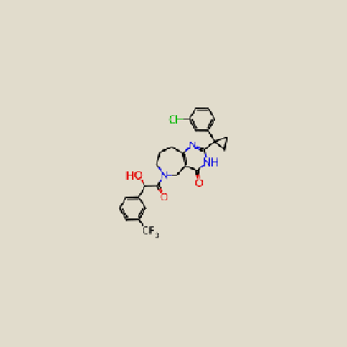 O=C([C@H](O)c1cccc(C(F)(F)F)c1)N1CCCc2nc(C3(c4cccc(Cl)c4)CC3)[nH]c(=O)c2C1